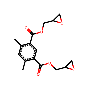 Cc1cc(C)c(C(=O)OCC2CO2)cc1C(=O)OCC1CO1